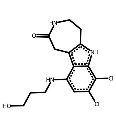 O=C1Cc2c([nH]c3c(Cl)c(Cl)cc(NCCCO)c23)CCN1